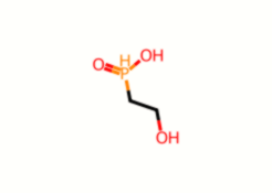 O=[PH](O)CCO